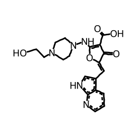 O=C(O)C1=C(NN2CCN(CCO)CC2)O/C(=C\c2c[nH]c3ncccc23)C1=O